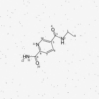 CCNC(=O)c1ccc(C(=O)NC)nc1